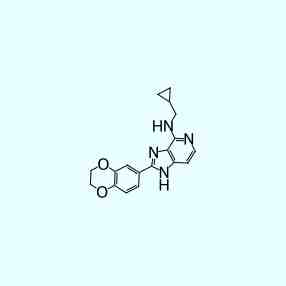 c1cc2[nH]c(-c3ccc4c(c3)OCCO4)nc2c(NCC2CC2)n1